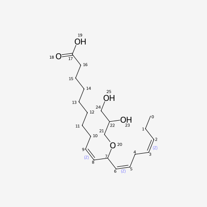 CC/C=C\C/C=C\C(/C=C\CCCCCCCC(=O)O)OCC(O)CO